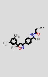 CSCC(=O)NC(C#N)c1ccc(C2=NOC(c3cc(C(F)(F)F)cc(C(F)(F)F)c3)(C(F)(F)F)C2)cc1